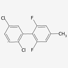 Cc1cc(F)c(-c2cc(Cl)c[c]c2Cl)c(F)c1